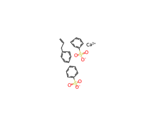 C=CCc1ccccc1.O=S(=O)([O-])c1ccccc1.O=S(=O)([O-])c1ccccc1.[Ca+2]